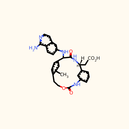 Cc1cc2ccc1CCOC(=O)Nc1cccc(c1)[C@@H](CC(=O)O)NC(=O)C2Nc1ccc2c(N)nccc2c1